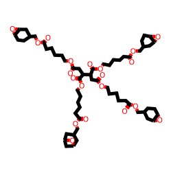 O=C(CCCCCOC(=O)C(CC(=O)OCCCCCC(=O)OCC1CCC2OC2C1)C(CC(=O)OCCCCCC(=O)OCC1CCC2OC2C1)C(=O)OCCCCCC(=O)OCC1CCC2OC2C1)OCC1CC2CC(C1)O2